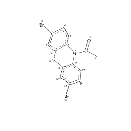 CC(=O)N1c2ccc(Br)cc2Sc2cc(Br)ccc21